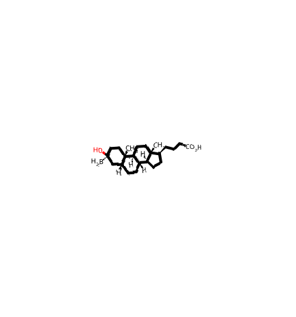 B[C@]1(O)CC[C@@]2(C)[C@H](CC[C@@H]3[C@@H]2CC[C@]2(C)[C@@H](CCCC(=O)O)CC[C@@H]32)C1